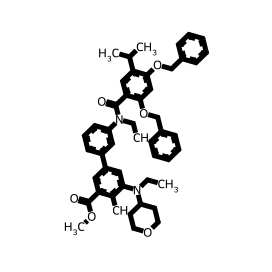 CCN(C(=O)c1cc(C(C)C)c(OCc2ccccc2)cc1OCc1ccccc1)c1cccc(-c2cc(C(=O)OC)c(C)c(N(CC)C3CCOCC3)c2)c1